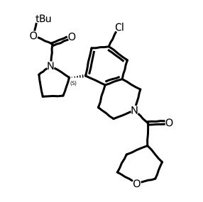 CC(C)(C)OC(=O)N1CCC[C@H]1c1cc(Cl)cc2c1CCN(C(=O)C1CCOCC1)C2